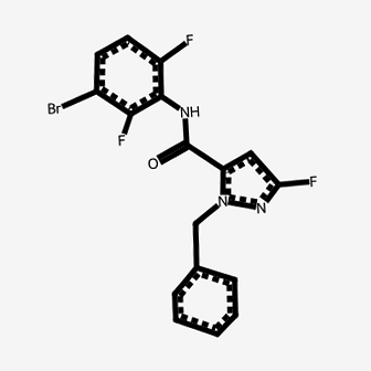 O=C(Nc1c(F)ccc(Br)c1F)c1cc(F)nn1Cc1ccccc1